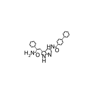 NC(=O)C(=Cc1c[nH]c2ncc(NC(=O)c3ccc(-c4ccccc4)cc3)cc12)c1ccccc1